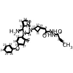 CC#CC(=O)NNC(=O)C=C1CC(N2CN(c3ccc(Oc4ccccc4)cc3F)C(N)c3ccnn32)C1